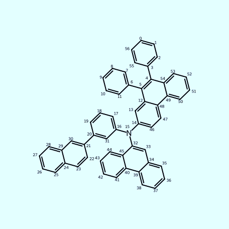 c1ccc(-c2c(-c3ccccc3)c3cc(N(c4cccc(-c5ccc6ccccc6c5)c4)c4cc5ccccc5c5ccccc45)ccc3c3ccccc23)cc1